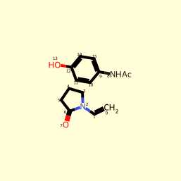 C=CN1CCCC1=O.CC(=O)Nc1ccc(O)cc1